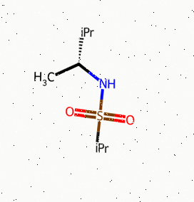 CC(C)[C@@H](C)NS(=O)(=O)C(C)C